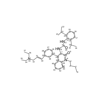 CCCCn1c(=O)c(NC(=O)Nc2c(C(C)C)cccc2C(C)C)c(-c2cccc(C=CCN(CC)CC)c2)c2cccnc21